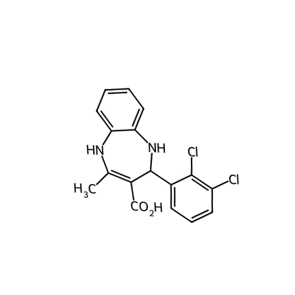 CC1=C(C(=O)O)C(c2cccc(Cl)c2Cl)Nc2ccccc2N1